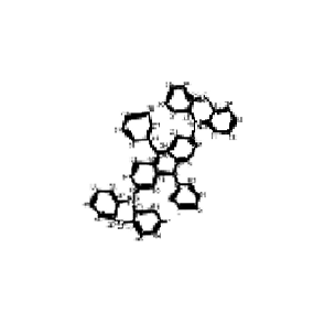 c1ccc(-c2c3ccc(N4c5ccccc5Sc5ccccc54)cc3c(-c3ccccc3)c3ccc(N4c5ccccc5Sc5ccccc54)cc23)cc1